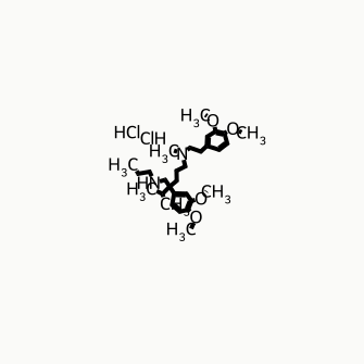 CCCNCC(CCCN(C)CCc1ccc(OC)c(OC)c1)(c1ccc(OC)c(OC)c1)C(C)C.Cl.Cl